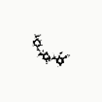 COc1c(C#N)cc(Cl)cc1[C@H](C)Nc1ncc(C(=O)NC[C@H]2CC[C@H](C(=O)O)CC2)cc1Cl